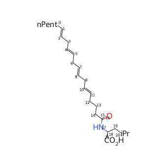 CCCCCC=CCC=CCC=CCC=CCCCC(=O)N[C@@H](CC(C)C)C(=O)O